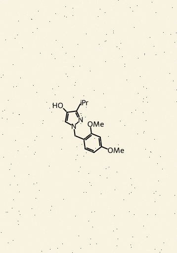 COc1ccc(Cn2cc(O)c(C(C)C)n2)c(OC)c1